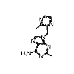 Cc1nc(N)c2ncn(Cc3nccnc3C)c2n1